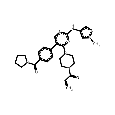 C=CC(=O)N1CCN(c2nc(Nc3cnn(C)c3)ncc2-c2ccc(C(=O)N3CCCC3)cc2)CC1